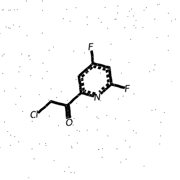 O=C(CCl)c1cc(F)cc(F)n1